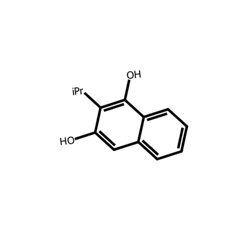 CC(C)c1c(O)cc2ccccc2c1O